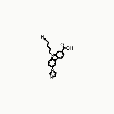 N#CCCCCn1c2ccc(-n3ccnc3)cc2c2ccc(C(=O)O)cc21